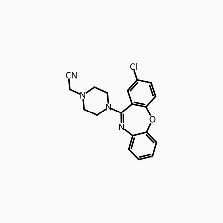 N#CCN1CCN(C2=Nc3ccccc3Oc3ccc(Cl)cc32)CC1